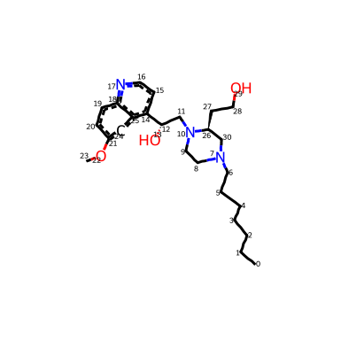 CCCCCCCN1CCN(C[C@H](O)c2ccnc3ccc(OC)cc23)[C@@H](CCO)C1